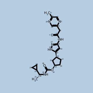 Cc1cnc(CC(=O)Nc2cc([C@H]3CC[C@@H](OC(=O)N[C@H](C)C4CC4)C3)[nH]n2)cn1